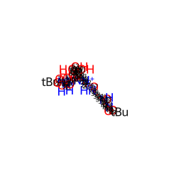 CC(C)(C)OC(=O)NC[C@@H](C(=O)NCCC(=O)Nc1cc(C[n+]2cccc(/C=C/C(=O)NCCCCC3CCN(C(=O)c4cccc(NC(=O)OC(C)(C)C)c4)CC3)c2)ccc1O[C@H]1O[C@H](CO)[C@@H](O)[C@H](O)[C@@H]1O)N1C(=O)C=CC1=O